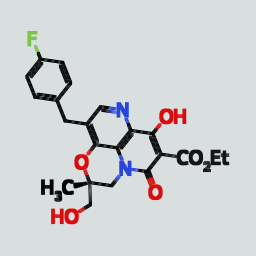 CCOC(=O)c1c(O)c2ncc(Cc3ccc(F)cc3)c3c2n(c1=O)C[C@](C)(CO)O3